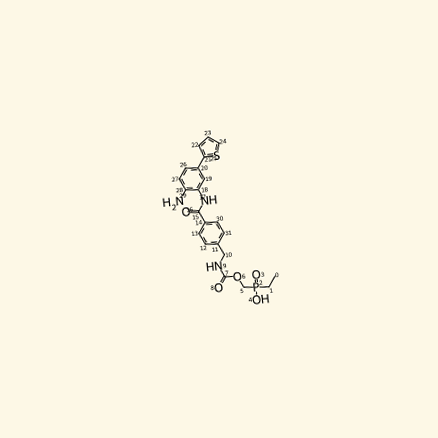 CCP(=O)(O)COC(=O)NCc1ccc(C(=O)Nc2cc(-c3cccs3)ccc2N)cc1